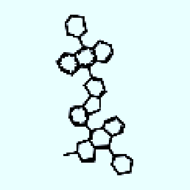 CC1C=CC2=C(C3CCCCC3)C3C=CC=CC3C(c3cccc4c3SC3=CC=C(c5c6c(c(C7CCCCC7)c7ccccc57)CCC=C6)CC34)=C2C1